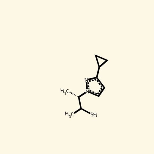 CC(S)[C@H](C)n1ccc(C2CC2)n1